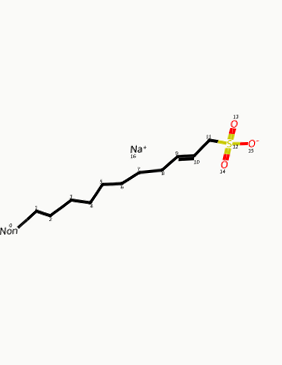 CCCCCCCCCCCCCCCCC/C=C/CS(=O)(=O)[O-].[Na+]